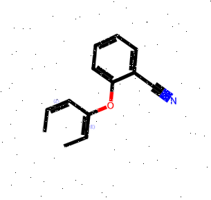 C/C=C\C(=C/C)Oc1ccccc1C#N